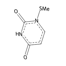 CSn1ccc(=O)[nH]c1=O